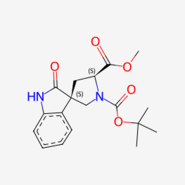 COC(=O)[C@@H]1C[C@]2(CN1C(=O)OC(C)(C)C)C(=O)Nc1ccccc12